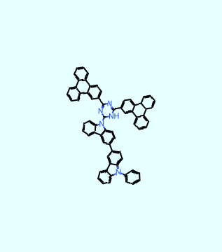 C1=CC2c3ccccc3-c3cc(C4=NC(c5ccc6c7ccccc7c7ccccc7c6c5)=NC(n5c6ccccc6c6cc(-c7ccc8c(c7)c7ccccc7n8-c7ccccc7)ccc65)N4)ccc3C2C=C1